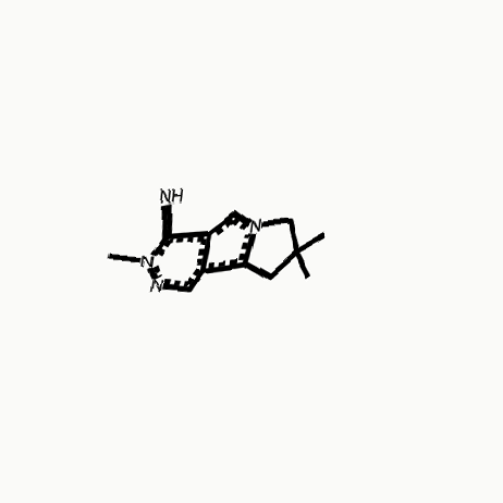 Cn1ncc2c3n(cc2c1=N)CC(C)(C)C3